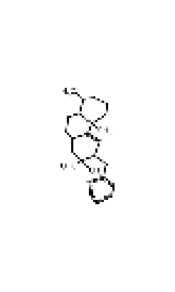 C[C@H]1CCCC2(C)C3=CC(Sc4ccccc4)C(C)(C=O)CC3CCC12